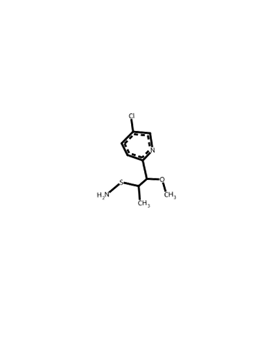 COC(c1ccc(Cl)cn1)C(C)SN